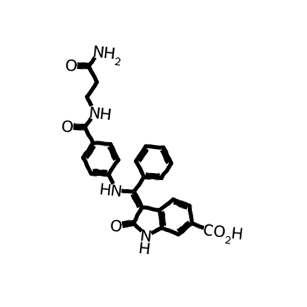 NC(=O)CCNC(=O)c1ccc(N/C(=C2\C(=O)Nc3cc(C(=O)O)ccc32)c2ccccc2)cc1